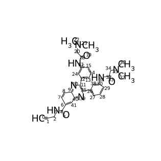 C#CCNC(=O)c1ccc2nc(-c3cccc(NC(=O)CN(C)C)c3)c(-c3cccc(NC(=O)CN(C)C)c3)nc2c1